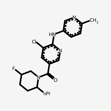 CCCC1CCC(F)CN1C(=O)c1cnc(Nc2ccc(C)nc2)c(Cl)c1